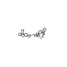 O=C(O)Cn1c2ccccc2c2ccc(OCCCCCOc3ccc4c(c3)CCC(=O)N4)cc21